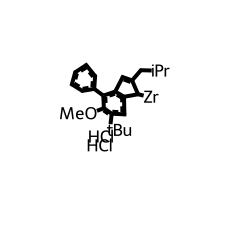 COc1c(C(C)(C)C)cc2c(c1-c1ccccc1)C=C(CC(C)C)[CH]2[Zr].Cl.Cl